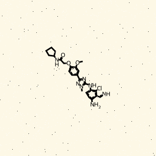 COc1cc(-c2nc(Nc3ccc(N)c(C=N)c3Cl)n(C)n2)ccc1OCC(=O)NC1CCCC1